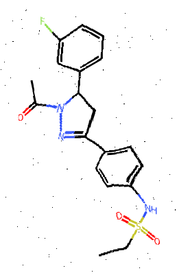 CCS(=O)(=O)Nc1ccc(C2=NN(C(C)=O)C(c3cccc(F)c3)C2)cc1